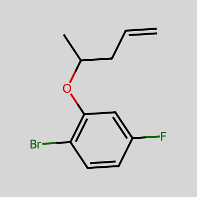 C=CCC(C)Oc1cc(F)ccc1Br